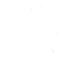 O=CNc1cc(C(O)C2CCCCN2)ccc1O